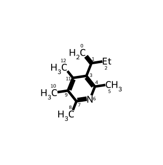 C=C(CC)c1c(C)nc(C)c(C)c1C